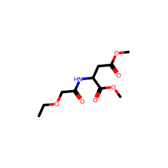 CCOCC(=O)NC(CC(=O)OC)C(=O)OC